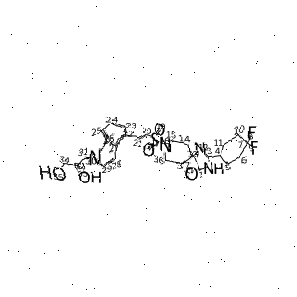 O=C1NC(C2CCC(F)(F)CC2)=NC12CCN(S(=O)(=O)C=Cc1cccc3c1ccn3C[C@H](O)CO)CC2